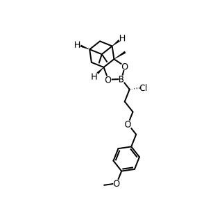 COc1ccc(COCC[C@@H](Cl)B2O[C@@H]3C[C@@H]4C[C@@H](C4(C)C)[C@]3(C)O2)cc1